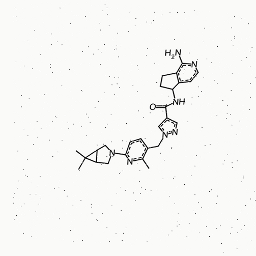 Cc1nc(N2CC3C(C2)C3(C)C)ccc1Cn1cc(C(=O)NC2CCc3c2ccnc3N)cn1